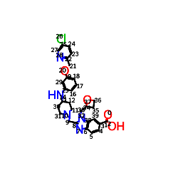 O=C(O)c1ccc2nc(CN3CCC(Nc4cccc(OCc5ccc(Cl)cn5)c4)CC3)n(CC3CCO3)c2c1